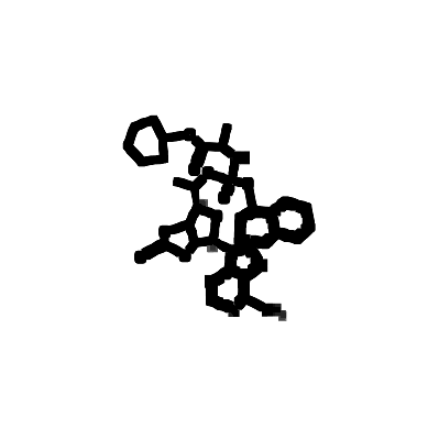 CC(NP(=O)(Oc1cccc2ccccc12)OC(C)[C@H]1O[C@@H](n2cnc3c(N)ncnc32)C2OC(=O)OC21)C(=O)OC1CCCCC1